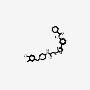 O=C(CSc1nc(-c2cccc(NC(=O)C3CCCCC3)c2)cs1)NC1CCN(Cc2ccc(Cl)c(Cl)c2)CC1